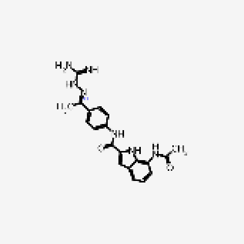 CC(=O)Nc1cccc2cc(C(=O)Nc3ccc(/C(C)=N/NC(=N)N)cc3)[nH]c12